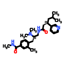 CNC(=O)c1ccc(C[C@@H](CNC(=O)C[C@H](CC(C)C)c2cccnc2)N(C)C)c(C)c1